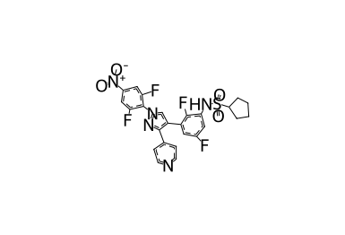 O=[N+]([O-])c1cc(F)c(-n2cc(-c3cc(F)cc(NS(=O)(=O)C4CCCC4)c3F)c(-c3ccncc3)n2)c(F)c1